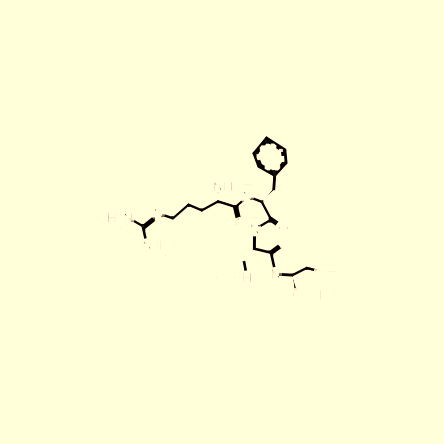 NC(N)=NCCC[C@H](N)C(=O)N[C@@H](Cc1ccccc1)C(=O)N[C@@H](CC(=O)O)C(=O)N[C@@H](CO)C(=O)O